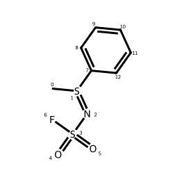 CS(=NS(=O)(=O)F)c1ccccc1